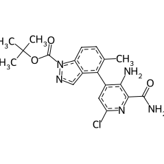 Cc1ccc2c(cnn2C(=O)OC(C)(C)C)c1-c1cc(Cl)nc(C(N)=O)c1N